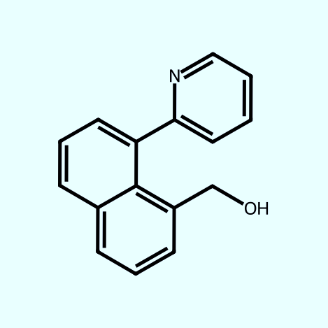 OCc1cccc2cccc(-c3ccccn3)c12